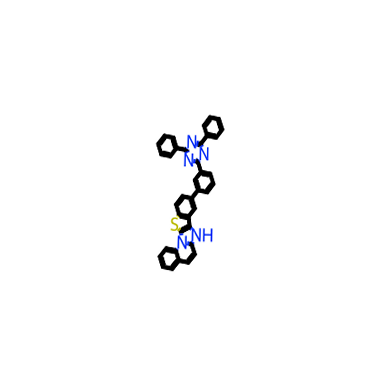 C1=CC2Nc3c(sc4ccc(-c5cccc(-c6nc(-c7ccccc7)nc(-c7ccccc7)n6)c5)cc34)N2c2ccccc21